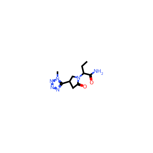 CCC(C(N)=O)N1CC(c2nnnn2C)CC1=O